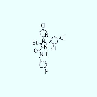 CCc1c(C(=O)NCc2ccc(F)cc2)nc(-c2ccc(Cl)cc2Cl)n1-c1ccc(Cl)cn1